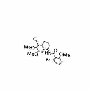 COc1cc2c(NC(=O)c3c(Br)ccc(C)c3OC)cccc2c(C2CC2)c1OC